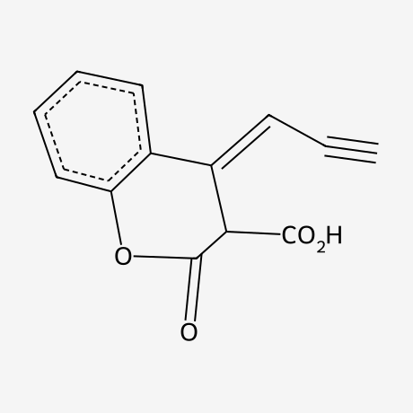 C#CC=C1c2ccccc2OC(=O)C1C(=O)O